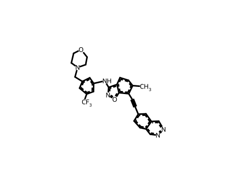 Cc1ccc2c(Nc3cc(CN4CCOCC4)cc(C(F)(F)F)c3)noc2c1C#Cc1ccc2cnncc2c1